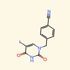 N#Cc1ccc(Cn2cc(I)c(=O)[nH]c2=O)cc1